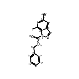 Cc1cc(Br)cc2cnn(C(=O)OCc3ccccc3)c12